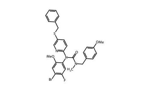 COc1ccc(CN(C)C(=O)N(c2ccc(SCc3ccccc3)cn2)c2cc(F)c(Br)cc2OC)cc1